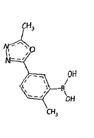 Cc1nnc(-c2ccc(C)c(B(O)O)c2)o1